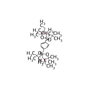 CCCC[Si](OC(C)(C)C)(OC(C)(C)C)c1ccc([Si](CCCC)(OC(C)(C)C)OC(C)(C)C)cc1